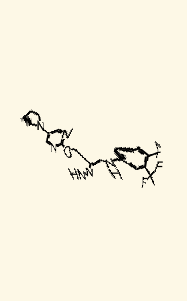 CC(F)(F)c1cc(N/C=C(/COc2ncc(N3CCC3)cn2)N=N)ccc1F